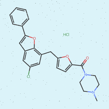 CN1CCN(C(=O)c2ccc(Cc3cc(Cl)cc4cc(-c5ccccc5)oc34)o2)CC1.Cl